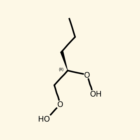 CCC[C@H](COO)OO